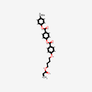 C=CC(=O)OCCCCOc1ccc(C(=O)Oc2ccc(C(=O)Oc3ccc(OC)cc3)cc2)cc1